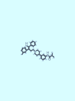 Cc1ccc2[nH]c(-c3ccccc3)c(CCN3CCC(c4cccc(NC(=O)C(C)C)c4)CC3)c2c1